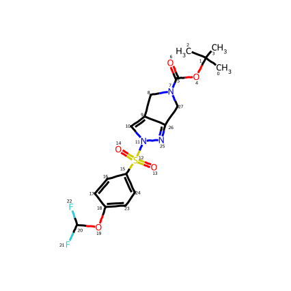 CC(C)(C)OC(=O)N1Cc2cn(S(=O)(=O)c3ccc(OC(F)F)cc3)nc2C1